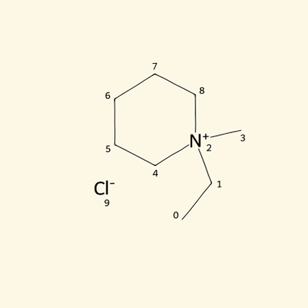 CC[N+]1(C)CCCCC1.[Cl-]